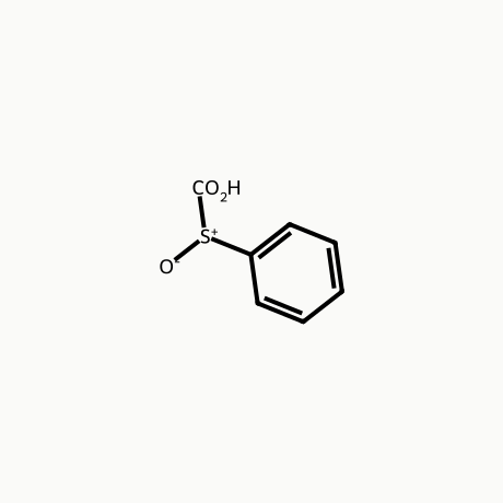 O=C(O)[S+]([O-])c1ccccc1